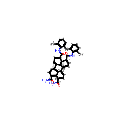 CC(C)c1cccc(C(C)C)c1NC(=O)c1ccc2c3ccc(C(N)=O)c4c(C(N)=O)ccc(c5ccc(C(=O)Nc6c(C(C)C)cccc6C(C)C)c1c25)c43